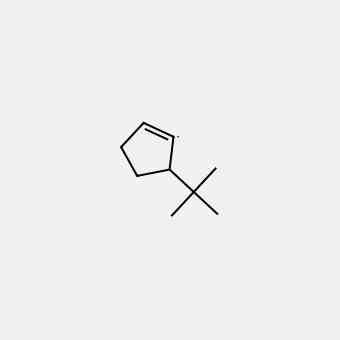 CC(C)(C)C1[C]=CCC1